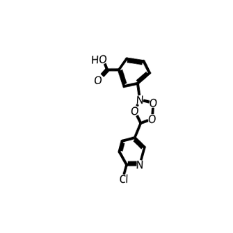 O=C(O)c1cccc(N2OOC(c3ccc(Cl)nc3)O2)c1